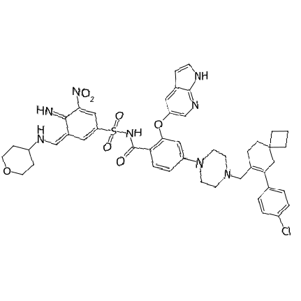 N=C1C([N+](=O)[O-])=CC(S(=O)(=O)NC(=O)c2ccc(N3CCN(CC4=C(c5ccc(Cl)cc5)CC5(CCC5)CC4)CC3)cc2Oc2cnc3[nH]ccc3c2)=C/C1=C/NC1CCOCC1